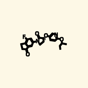 CCC(C)Oc1ccc(O[C@@H]2CCN(c3cc(F)c4c(c3)C(=O)CC4)C2=O)cn1